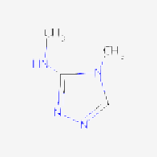 CNc1nncn1C